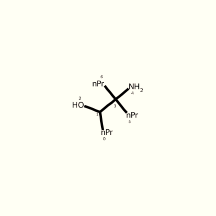 CCCC(O)C(N)(CCC)CCC